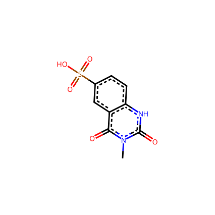 Cn1c(=O)[nH]c2ccc(S(=O)(=O)O)cc2c1=O